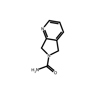 NC(=O)N1Cc2cccnc2C1